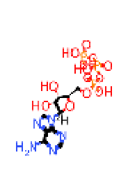 [2H][C@@]1(n2cnc3c(N)ncnc32)O[C@H](COP(=O)(O)OP(=O)(O)OP(=O)(O)O)[C@@H](O)[C@H]1O